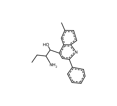 CCC(N)C(O)c1cc(-c2ccccc2)nc2ccc(C)cc12